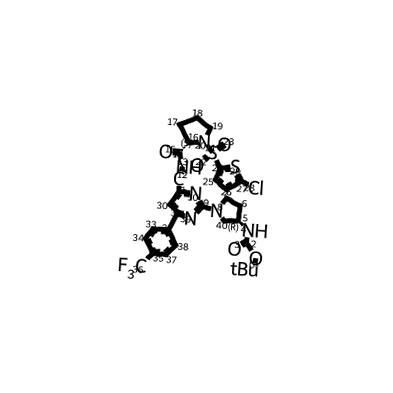 CC(C)(C)OC(=O)N[C@@H]1CCN(c2nc(CNC(=O)[C@@H]3CCCN3S(=O)(=O)c3ccc(Cl)s3)cc(-c3ccc(C(F)(F)F)cc3)n2)C1